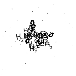 CC(C)(C)NC(=O)[C@@H]1CC(S(=O)(=O)c2ccccc2)CCN1CC(O)C(Cc1ccccc1)NC(=O)[C@H](CC(N)=O)NC(=O)c1ccc2ccccc2n1